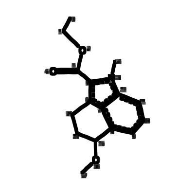 CCOC(=O)c1c2c3c(cccc3n1C)C(OC)CC2